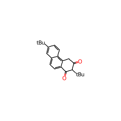 CC(C)(C)c1ccc2c3c(ccc2c1)C(=O)C(C(C)(C)C)C(=O)C3